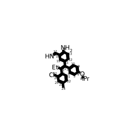 CC/C(=C(/c1ccc(OC(C)C)cc1)c1ccc(N)c(C=N)c1)c1ccc(C)cc1Cl